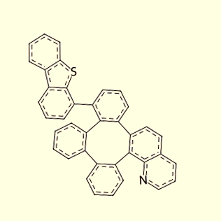 c1ccc2c(c1)-c1ccccc1-c1c(ccc3cccnc13)-c1cccc(-c3cccc4c3sc3ccccc34)c1-2